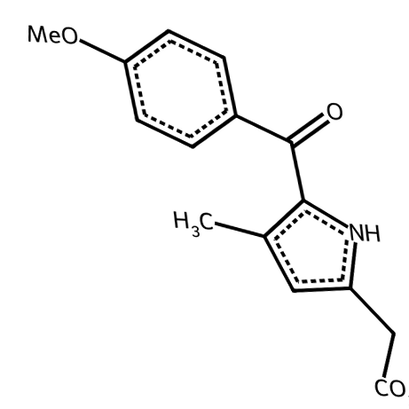 COc1ccc(C(=O)c2[nH]c(CC(=O)O)cc2C)cc1